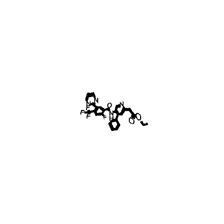 CCOC(=O)Cc1cc(-c2ccccc2)c(NC(=O)c2cc(-c3ncccn3)c(C(F)(F)F)cc2F)cn1